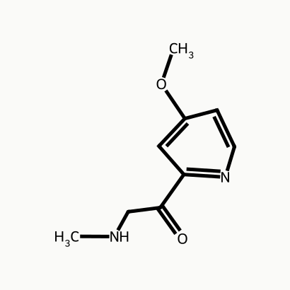 CNCC(=O)c1cc(OC)ccn1